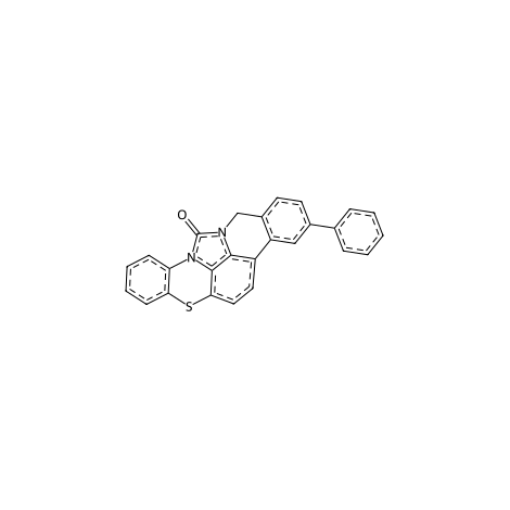 O=c1n2c3c(ccc4c3n1-c1ccccc1S4)-c1cc(-c3ccccc3)ccc1C2